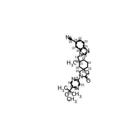 COC(C)(C)c1cnc(N2C[C@@]3(CCC[C@](C)(Cn4cnc5ccc(C#N)cc54)C3)OC2=O)cn1